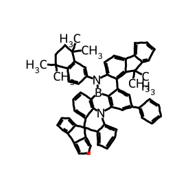 CC1(C)CCC(C)(C)c2cc(N3B4c5cccc6c5N(c5ccccc5C65c6ccccc6-c6ccccc65)c5cc(-c6ccccc6)cc(c54)-c4c3ccc3c4C(C)(C)c4ccccc4-3)ccc21